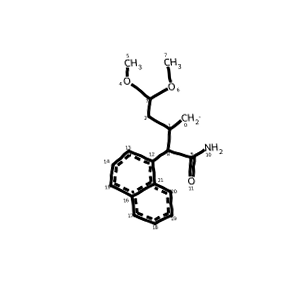 [CH2]C(CC(OC)OC)C(C(N)=O)c1cccc2ccccc12